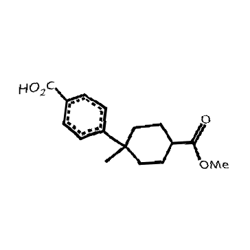 COC(=O)C1CCC(C)(c2ccc(C(=O)O)cc2)CC1